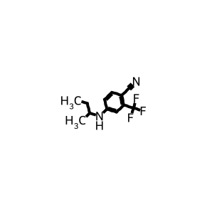 CCC(C)Nc1ccc(C#N)c(C(F)(F)F)c1